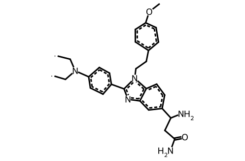 [CH2]CN(C[CH2])c1ccc(-c2nc3cc(C(N)CC(N)=O)ccc3n2CCc2ccc(OC)cc2)cc1